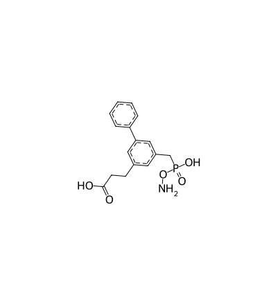 NOP(=O)(O)Cc1cc(CCC(=O)O)cc(-c2ccccc2)c1